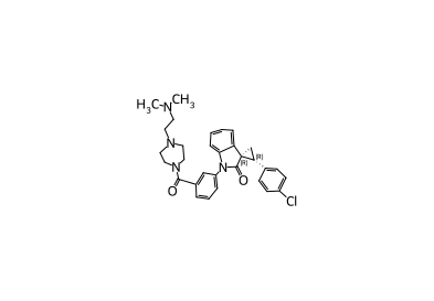 CN(C)CCN1CCN(C(=O)c2cccc(N3C(=O)[C@@]4(C[C@@H]4c4ccc(Cl)cc4)c4ccccc43)c2)CC1